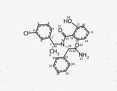 C[C@H](c1cccc(Cl)c1)N(C(=O)c1ccccc1O)[C@H](C(N)=O)c1ccccc1